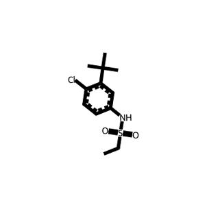 CCS(=O)(=O)Nc1ccc(Cl)c(C(C)(C)C)c1